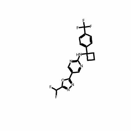 FC(F)c1nnc(-c2cnc(NC3(c4ccc(C(F)(F)F)cc4)CCC3)nc2)o1